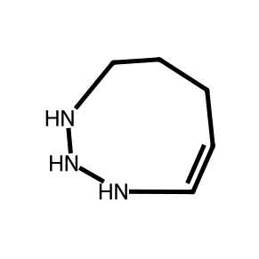 C1=C\NNNCCC/1